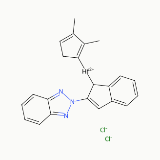 CC1=CC[C]([Hf+2][CH]2C(n3nc4ccccc4n3)=Cc3ccccc32)=C1C.[Cl-].[Cl-]